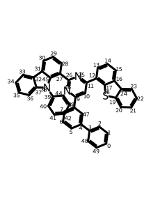 c1ccc(-c2cccc(-c3cc(-c4cccc5c4sc4ccccc45)nc(-c4cccc5c6ccccc6n(-c6ccccc6)c45)n3)c2)cc1